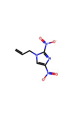 C=CCn1cc([N+](=O)[O-])nc1[N+](=O)[O-]